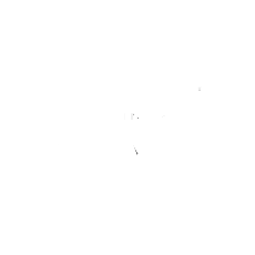 C[C@H](NC(=O)CBr)c1cccc(F)c1F